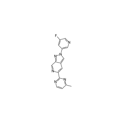 Cc1ccnc(-c2cc3cn(-c4cncc(F)c4)nc3cn2)n1